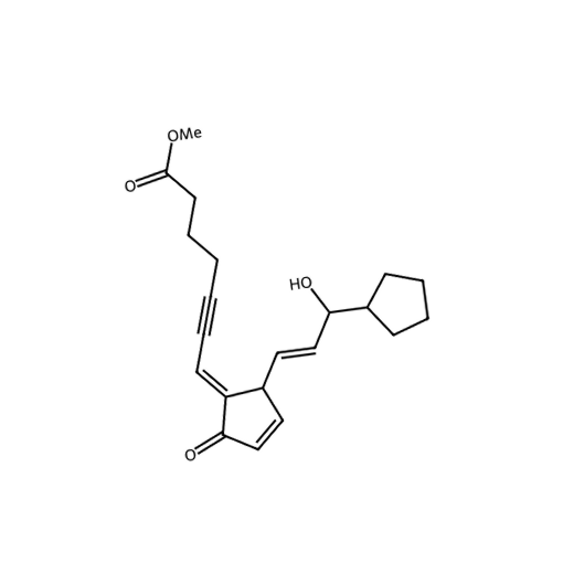 COC(=O)CCCC#CC=C1C(=O)C=CC1C=CC(O)C1CCCC1